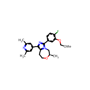 COCOc1cc(-c2nc(-c3cc(C)nc(C)c3)c3n2C[C@@H](C)OCC3)ccc1F